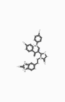 C=C(/C(=C\N(N)c1ccc(F)cc1)C1OCC(=O)N1CCc1ccc2[nH]c(=O)[nH]c2c1)c1ccc(F)cc1